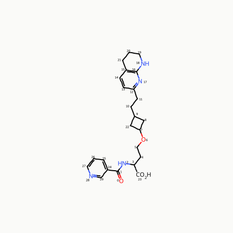 O=C(NC(CCOC1CC(CCc2ccc3c(n2)NCCC3)C1)C(=O)O)c1cccnc1